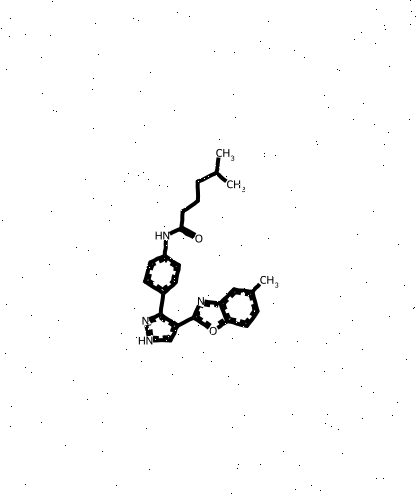 Cc1ccc2oc(-c3c[nH]nc3-c3ccc(NC(=O)CCCC(C)C)cc3)nc2c1